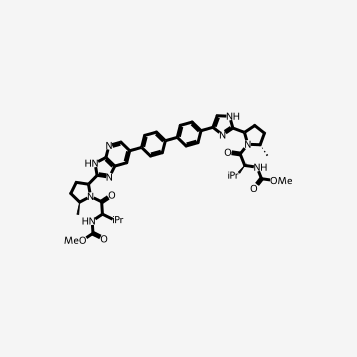 COC(=O)NC(C(=O)N1C(c2nc3cc(-c4ccc(-c5ccc(-c6c[nH]c(C7CC[C@H](C)N7C(=O)[C@@H](NC(=O)OC)C(C)C)n6)cc5)cc4)cnc3[nH]2)CC[C@@H]1C)C(C)C